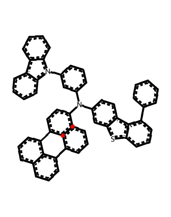 c1ccc(-c2cccc3cccc(-c4ccc(N(c5cccc(-n6c7ccccc7c7ccccc76)c5)c5ccc6c(c5)sc5cccc(-c7ccccc7)c56)cc4)c23)cc1